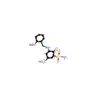 COc1ccccc1CNc1cc(C(=O)O)cc(S(N)(=O)=O)c1Cl